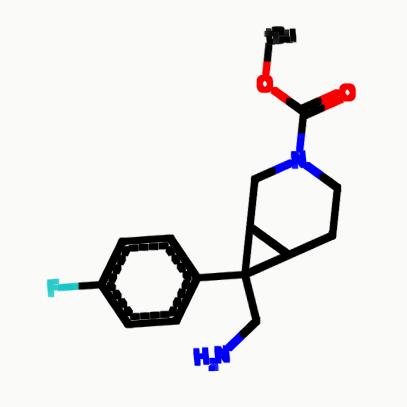 CC(C)(C)OC(=O)N1CCC2C(C1)C2(CN)c1ccc(F)cc1